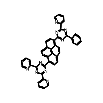 c1ccc(-c2nc(-c3ccccn3)nc(-c3ccc4ccc5c(-c6nc(-c7ccccn7)nc(-c7ccccn7)n6)ccc6ccc3c4c65)n2)cc1